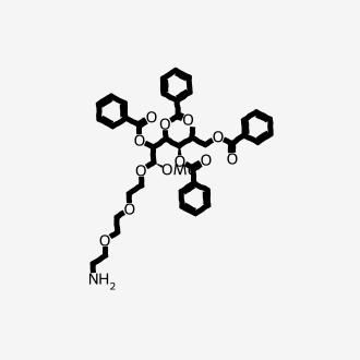 CO[C@H](OCCOCCOCCN)C(OC(=O)c1ccccc1)C(OC(=O)c1ccccc1)[C@H](OC(=O)c1ccccc1)C(C)COC(=O)c1ccccc1